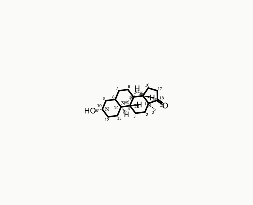 C[C@]12CC[C@H]3[C@@H](CCC4C[C@@H](O)CC[C@@H]43)[C@@H]1CCC2=O